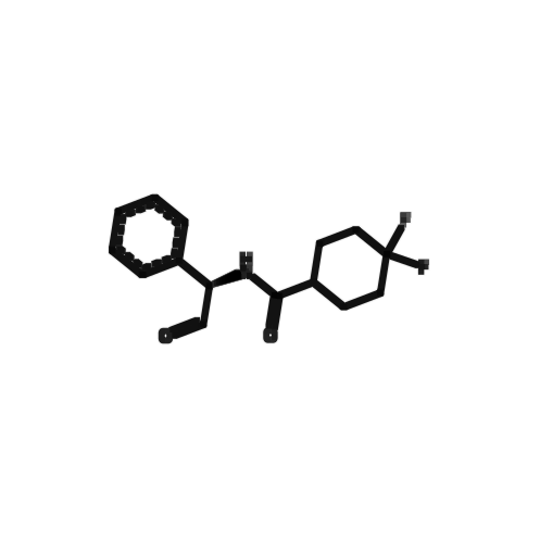 O=C[C@H](NC(=O)C1CCC(F)(F)CC1)c1ccccc1